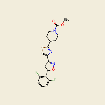 CC(C)(C)OC(=O)N1CCC(c2nc(C3=NO[C@H](c4c(F)cccc4F)C3)cs2)CC1